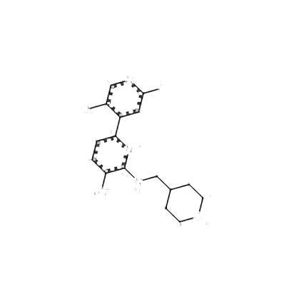 Fc1cc(-c2ccc(C(F)(F)F)c(NCC3CCOCC3)n2)c(Cl)cn1